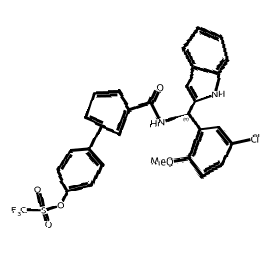 COc1ccc(Cl)cc1[C@@H](NC(=O)c1cccc(-c2ccc(OS(=O)(=O)C(F)(F)F)cc2)c1)c1cc2ccccc2[nH]1